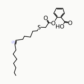 CCCCCCC/C=C\CCCCCSCC(=O)Oc1ccccc1C(=O)O